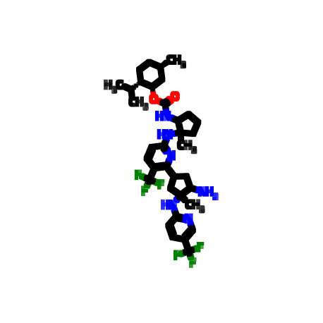 CC(C)[C@@H]1CC[C@@H](C)C[C@H]1OC(=O)NC1CCCC1(C)Nc1ccc(C(F)(F)F)c(C2CC(N)C(C)(Nc3ccc(C(F)(F)F)cn3)C2)n1